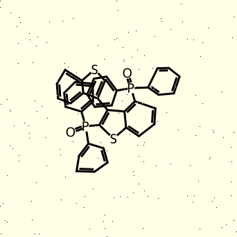 O=P(c1ccccc1)(c1ccccc1)c1sc2cccc(P(=O)(c3ccccc3)c3ccccc3)c2c1-c1csc2ccccc12